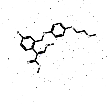 CO/C=C(/C(=O)OC)c1ccc(F)cc1COc1ccc(OCCOC)cc1